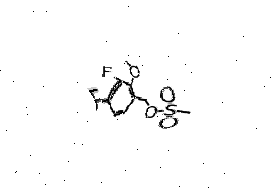 COc1c(COS(C)(=O)=O)ccc(F)c1F